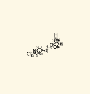 O=C(OCCC1CC1c1ccc2nc(CCl)cn2c1)c1c[nH]nc1C(F)F